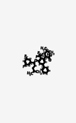 CC(C)CCC(Oc1cc(-c2ccccc2)cc(C(CC(C)C)C(=O)O)c1C(F)(F)F)c1cc(F)cc(F)c1